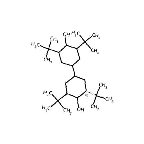 CC(C)(C)C1CC(C2CC(C(C)(C)C)C(O)[C@@H](C(C)(C)C)C2)CC(C(C)(C)C)C1O